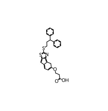 O=C(O)CCOC1=CC=C2C=c3sc(SCCC(c4ccccc4)c4ccccc4)nc3=C2C1